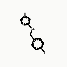 Clc1ccc(CNc2nc[nH]n2)cc1